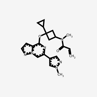 C=CC(=O)N(C)C1CC(Oc2nc(-c3cnn(C)c3)cn3nccc23)(C2CC2)C1